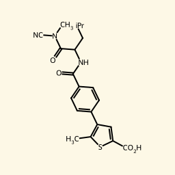 Cc1sc(C(=O)O)cc1-c1ccc(C(=O)NC(CC(C)C)C(=O)N(C)C#N)cc1